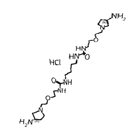 Cl.N[C@@H]1CCN(CCOCCNC(=O)NCCCCNC(=O)NCCOCCN2CC[C@@H](N)C2)C1